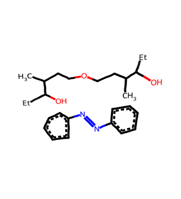 CCC(O)C(C)CCOCCC(C)C(O)CC.c1ccc(N=Nc2ccccc2)cc1